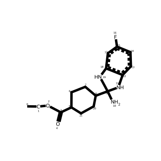 CCOC(=O)C1CCC(C2(N)Nc3ccc(F)cc3N2)CC1